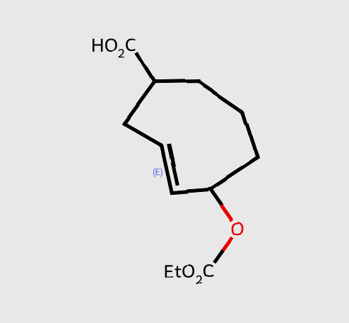 CCOC(=O)OC1/C=C/CC(C(=O)O)CCC1